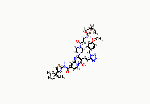 COc1ccc(Cn2nnnc2C=Cc2c(N3CCN(C(=O)CCNC(=O)OC(C)(C)C)CC3)nc3cc(C(=O)Nc4nc(C(C)(C)C)cs4)ccn3c2=O)cc1